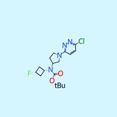 CC(C)(C)OC(=O)N(C1CCN(c2ccc(Cl)nn2)C1)[C@H]1C[C@@H](F)C1